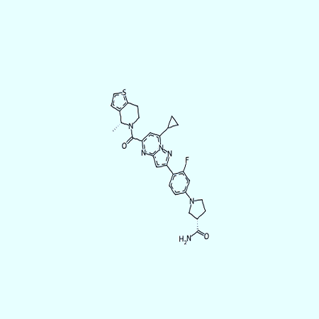 C[C@@H]1c2ccsc2CCN1C(=O)c1cc(C2CC2)n2nc(-c3ccc(N4CC[C@H](C(N)=O)C4)cc3F)cc2n1